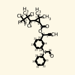 C#CC(OC(=O)C1C(C(Cl)C(C)(Cl)C(F)(F)Cl)C1(C)C)c1cccc(N(C=O)c2ccccc2)c1